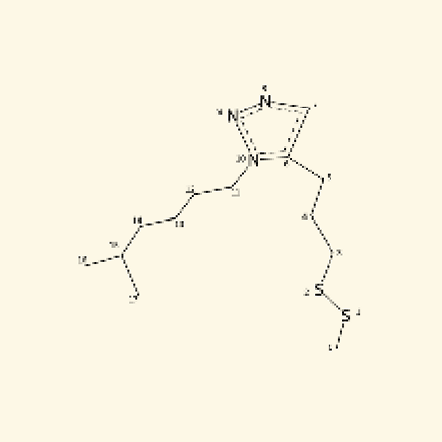 CSSCCCc1cnnn1CCCCC(C)C